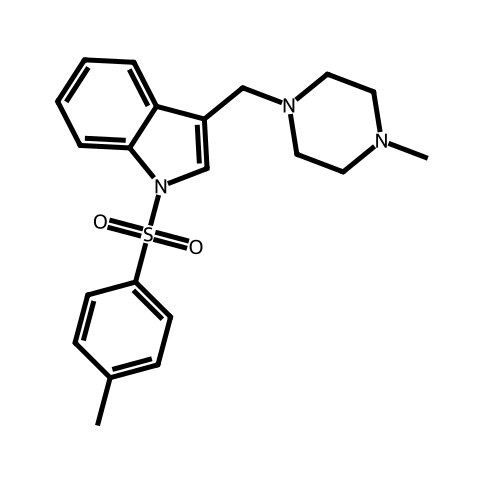 Cc1ccc(S(=O)(=O)n2cc(CN3CCN(C)CC3)c3ccccc32)cc1